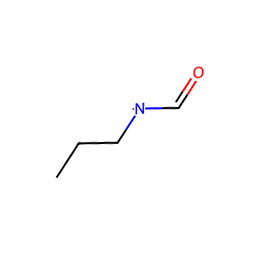 CCC[N]C=O